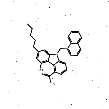 CCCCCc1cc(O)c2c3c(C(N)=O)cccc3n(Cc3cccc4ccccc34)c2c1